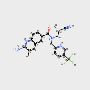 Cc1cc2cc(C(=O)N(Cc3ccc(C(F)(F)F)cn3)C[C@H](C)C#N)ccc2nc1N